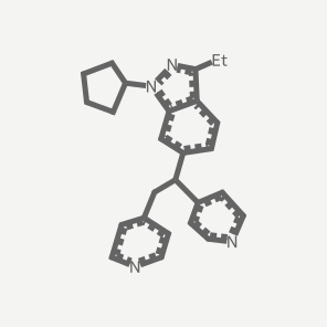 CCc1nn(C2CCCC2)c2cc(C(Cc3ccncc3)c3ccncc3)ccc12